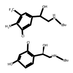 CC(C)(C)NCC(O)c1cc(Cl)c(N)c(C(F)(F)F)c1.CC(C)(C)NC[C@H](O)c1ccc(O)cc1Cl